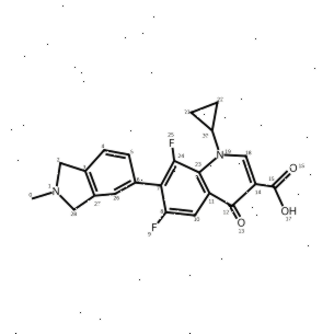 CN1Cc2ccc(-c3c(F)cc4c(=O)c(C(=O)O)cn(C5CC5)c4c3F)cc2C1